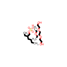 CCCCC(CC)COS(=O)(=O)O.CCOCC.OCCOCCOCCO